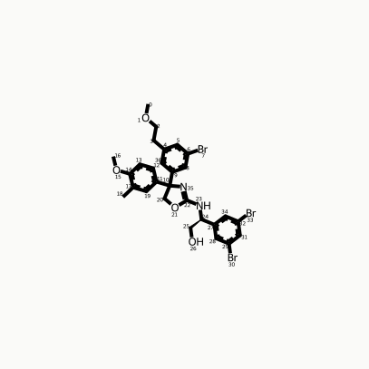 COCCc1cc(Br)cc(C2(c3ccc(OC)c(C)c3)COC(N[C@H](CO)c3cc(Br)cc(Br)c3)=N2)c1